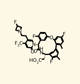 Cc1cc2cc(c1F)[C@H](CC(=O)O)NC(=O)[C@H](n1cc(CCN3CC(F)C3)c(C(F)(F)F)cc1=O)c1cc(ccc1F)Oc1cc(F)cc(C)c1-2